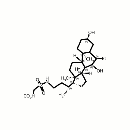 CC[C@@H]1C2C[C@H](O)CC[C@]2(C)[C@H]2CC[C@]3(C)[C@@H]([C@H](C)CCNS(=O)(=O)CC(=O)O)CC[C@H]3[C@@H]2[C@@H]1O